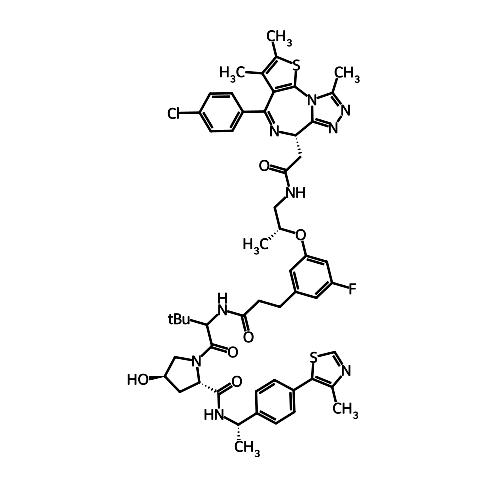 Cc1ncsc1-c1ccc([C@H](C)NC(=O)[C@@H]2C[C@@H](O)CN2C(=O)C(NC(=O)CCc2cc(F)cc(O[C@H](C)CNC(=O)C[C@@H]3N=C(c4ccc(Cl)cc4)c4c(sc(C)c4C)-n4c(C)nnc43)c2)C(C)(C)C)cc1